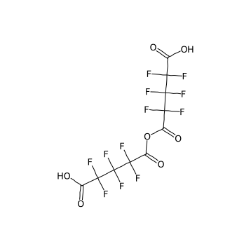 O=C(O)C(F)(F)C(F)(F)C(F)(F)C(=O)OC(=O)C(F)(F)C(F)(F)C(F)(F)C(=O)O